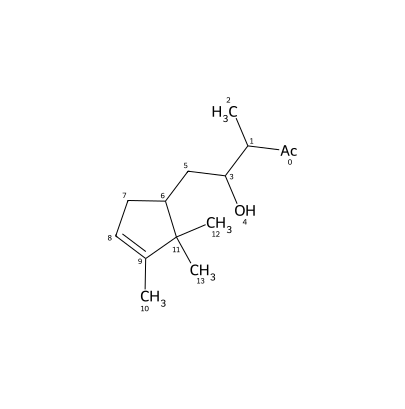 CC(=O)C(C)C(O)CC1CC=C(C)C1(C)C